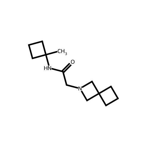 CC1(NC(=O)CN2CC3(CCC3)C2)CCC1